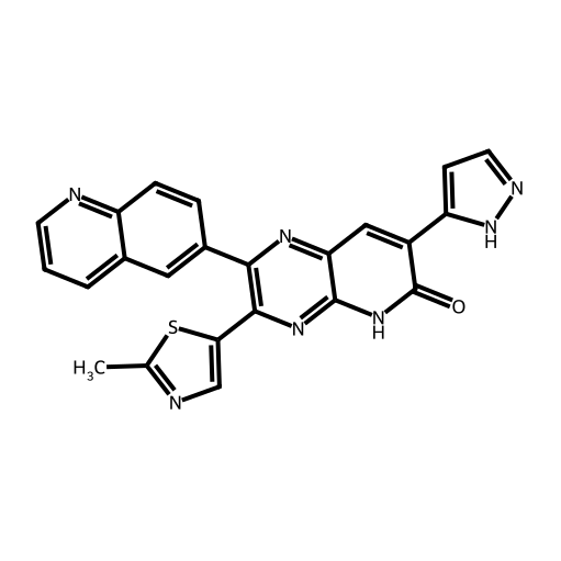 Cc1ncc(-c2nc3[nH]c(=O)c(-c4ccn[nH]4)cc3nc2-c2ccc3ncccc3c2)s1